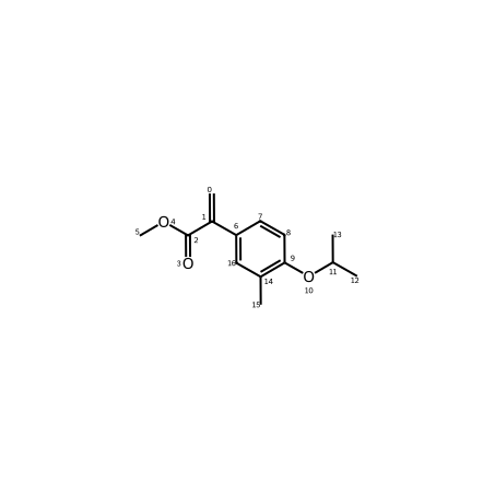 C=C(C(=O)OC)c1ccc(OC(C)C)c(C)c1